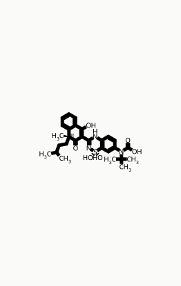 CC(C)CC[C@@]1(C)C(=O)C(C2=NS(O)(O)c3cc(N(C(=O)O)C(C)(C)C)ccc3N2)=C(O)c2ccccc21